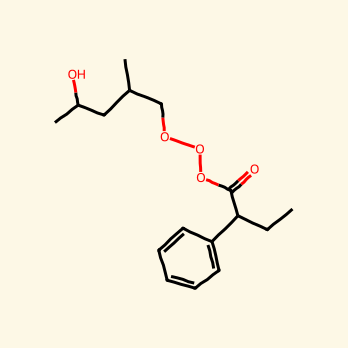 CCC(C(=O)OOOCC(C)CC(C)O)c1ccccc1